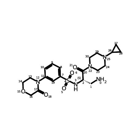 NC[C@H](NS(=O)(=O)c1cccc(N2CCOCC2=O)c1)C(=O)N1CCN(C2CC2)CC1